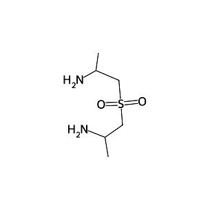 CC(N)CS(=O)(=O)CC(C)N